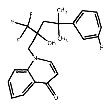 CC(C)(CC(O)(Cn1ccc(=O)c2ccccc21)C(F)(F)F)c1cccc(F)c1